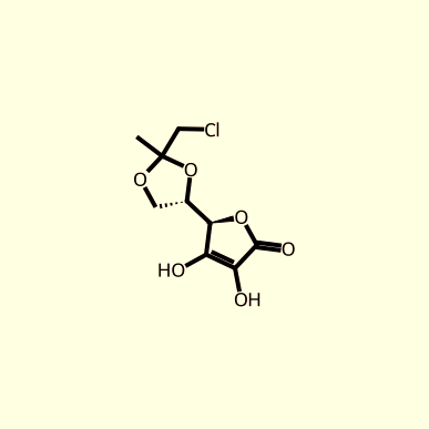 CC1(CCl)OC[C@@H]([C@H]2OC(=O)C(O)=C2O)O1